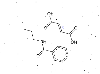 CCCNC(=O)c1ccccc1.O=C(O)/C=C/C(=O)O